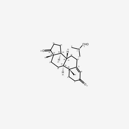 CN(C)C=O.C[C@]12CCC(=O)C=C1CC[C@@H]1[C@@H]2CC[C@]2(C)C(=O)CC[C@@H]12